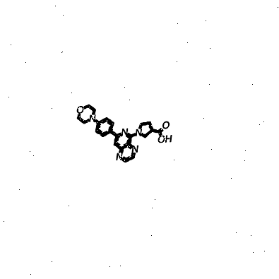 O=C(O)C1CCN(c2nc(-c3ccc(N4CCOCC4)cc3)cc3nccnc23)C1